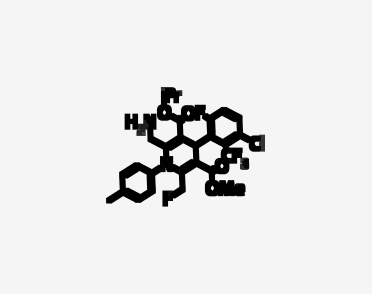 COC(=O)C1=C(CF)N(c2ccc(C)cc2)C(CN)=C(C(=O)OC(C)C)C1c1c(F)ccc(Cl)c1C(F)(F)F